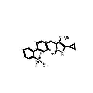 CCCN1NC(C2CC2)=C(C(=O)OCC)C1Cc1ccc(-c2ccccc2S(N)(=O)=O)cc1